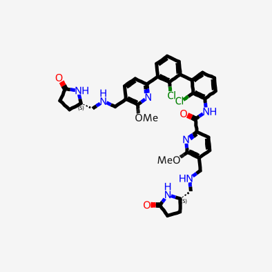 COc1nc(C(=O)Nc2cccc(-c3cccc(-c4ccc(CNC[C@@H]5CCC(=O)N5)c(OC)n4)c3Cl)c2Cl)ccc1CNC[C@@H]1CCC(=O)N1